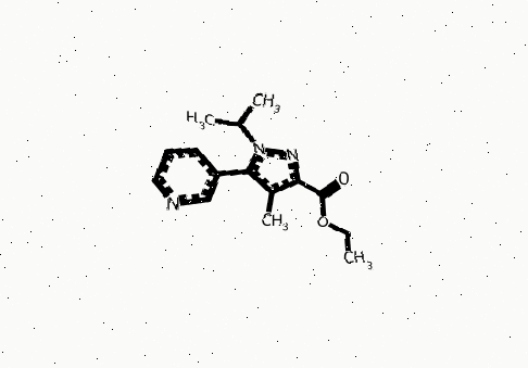 CCOC(=O)c1nn(C(C)C)c(-c2cccnc2)c1C